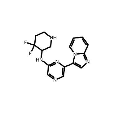 FC1(F)CCNCC1Nc1cncc(-c2cnc3ccccn23)n1